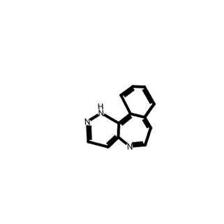 C1=NNC2=c3ccccc3=CC=NC2=C1